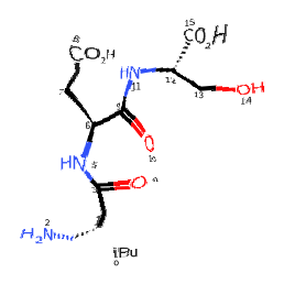 CC[C@H](C)[C@H](N)C(=O)N[C@@H](CC(=O)O)C(=O)N[C@@H](CO)C(=O)O